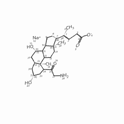 C[C@H](CCC(=O)[O-])[C@H]1CCC2C3C(CC[C@@]21C)[C@]1(C)C(C[C@@H](O)CC1C(=O)CN)C[C@@H]3O.[Na+]